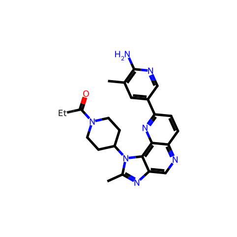 CCC(=O)N1CCC(n2c(C)nc3cnc4ccc(-c5cnc(N)c(C)c5)nc4c32)CC1